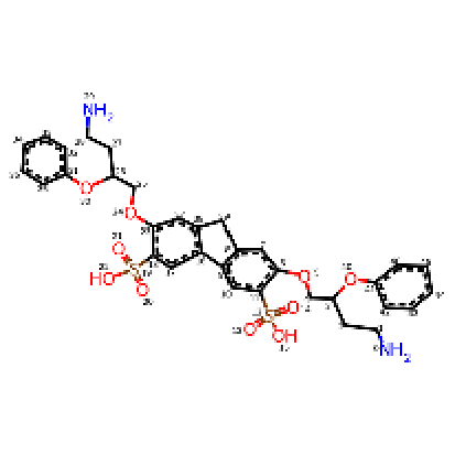 NCCC(COc1cc2c(cc1S(=O)(=O)O)-c1cc(S(=O)(=O)O)c(OCC(CCN)Oc3ccccc3)cc1C2)Oc1ccccc1